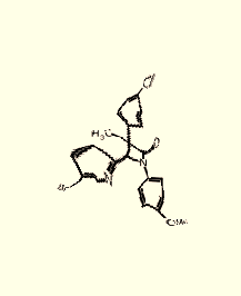 COc1ccc(N2C(=O)C(C)(c3ccc(Cl)cc3)C2c2ccc(Br)cn2)cc1